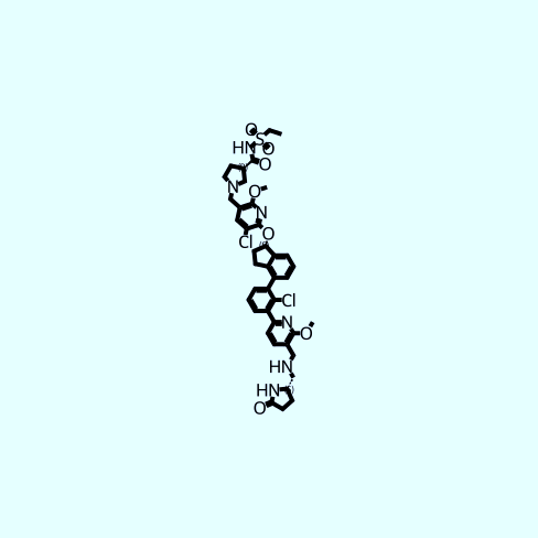 CCS(=O)(=O)NC(=O)[C@@H]1CCN(Cc2cc(Cl)c(O[C@H]3CCc4c(-c5cccc(-c6ccc(CNC[C@@H]7CCC(=O)N7)c(OC)n6)c5Cl)cccc43)nc2OC)C1